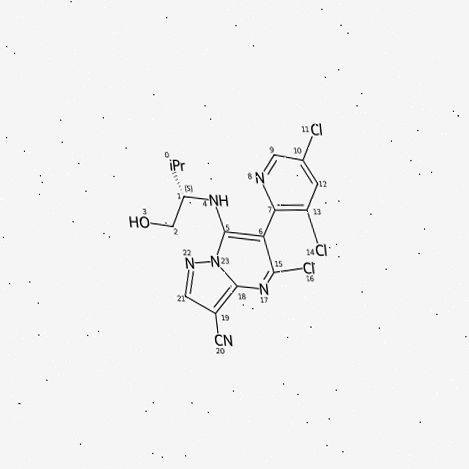 CC(C)[C@@H](CO)Nc1c(-c2ncc(Cl)cc2Cl)c(Cl)nc2c(C#N)cnn12